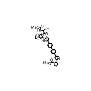 COC(=O)NC(C(=O)N1CC2(C[C@H]1c1ncc(-c3ccc(-c4ccc(-c5cnc([C@@H]6CCCN6C(=O)OC(C)(C)C)[nH]5)cc4)cc3)[nH]1)OCCO2)C(C)C